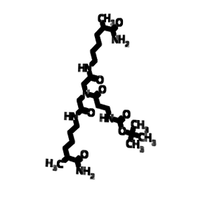 CC(CCCCNC(=O)CN(CC(=O)NCCCCC(C)C(N)=O)C(=O)CCNC(=O)OC(C)(C)C)C(N)=O